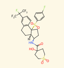 O=C(N[C@@H]1CC[C@@]2(S(=O)(=O)c3ccc(F)cc3)c3ccc(C(F)(C(F)(F)F)C(F)(F)F)cc3CC[C@@H]12)C1(O)CCS(=O)(=O)CC1